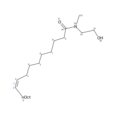 CCCCCCCC/C=C\CCCCCCCC(=O)N(C)CCO